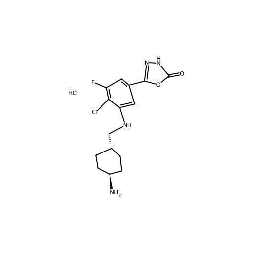 Cl.N[C@H]1CC[C@H](CNc2cc(-c3n[nH]c(=O)o3)cc(F)c2Cl)CC1